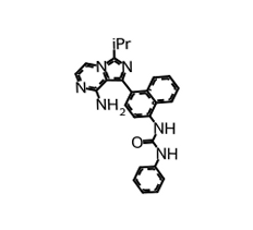 CC(C)c1nc(-c2ccc(NC(=O)Nc3ccccc3)c3ccccc23)c2c(N)nccn12